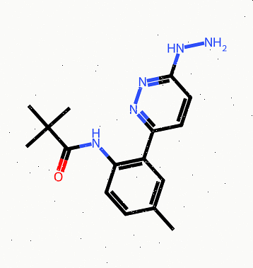 Cc1ccc(NC(=O)C(C)(C)C)c(-c2ccc(NN)nn2)c1